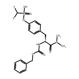 CN(C)C(=O)[C@H](Cc1ccc(OP(=O)(O)C(F)F)cc1)NC(=O)OCc1ccccc1